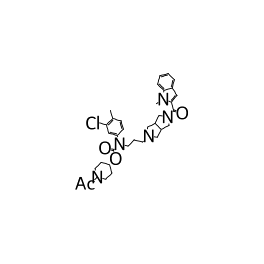 CC(=O)N1CCC(OC(=O)N(CCCN2CC3CN(C(=O)c4cc5ccccc5n4C)CC3C2)c2ccc(C)c(Cl)c2)CC1